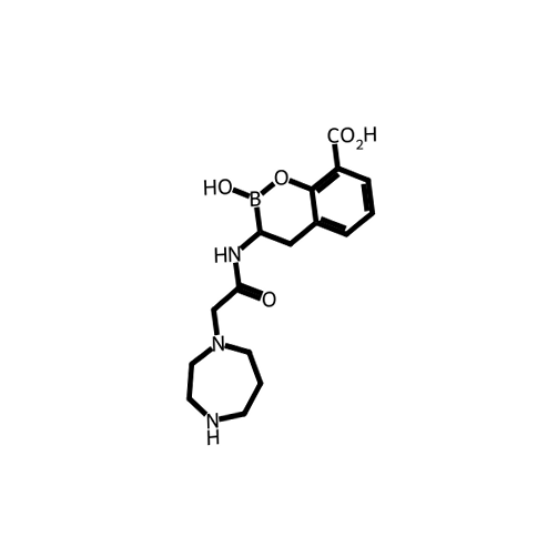 O=C(CN1CCCNCC1)NC1Cc2cccc(C(=O)O)c2OB1O